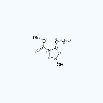 CC(C)(C)OC(=O)N1CC(O)CC1OC=O